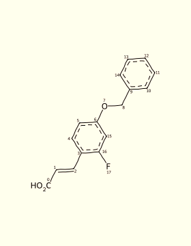 O=C(O)C=Cc1ccc(OCc2ccccc2)cc1F